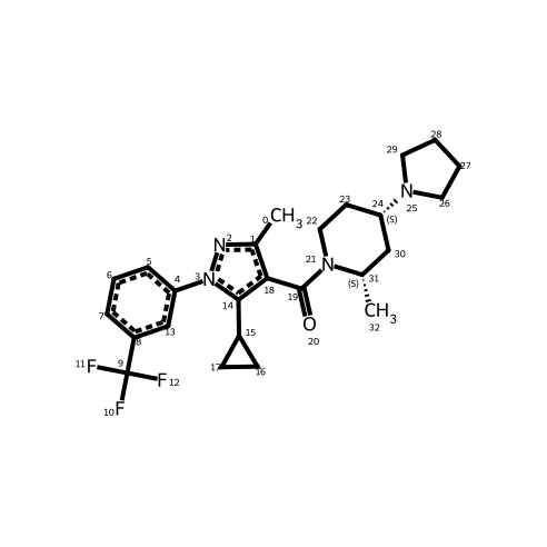 Cc1nn(-c2cccc(C(F)(F)F)c2)c(C2CC2)c1C(=O)N1CC[C@H](N2CCCC2)C[C@@H]1C